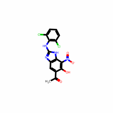 CC(=O)c1cc2nc(Nc3c(Cl)cccc3Cl)[nH]c2c([N+](=O)[O-])c1O